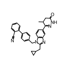 CC1CC(=O)NN=C1c1ccc2c(c1)nc(CC1CC1)n2Cc1ccc(-c2ccccc2C#N)cc1